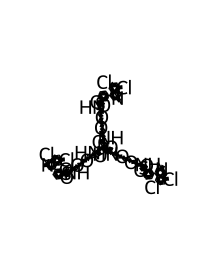 CN1Cc2c(Cl)cc(Cl)cc2[C@H](c2cccc(S(=O)(=O)NCCOCCOCCNC(=O)CN(CC(=O)NCCOCCOCCNS(=O)(=O)c3cccc([C@@H]4CN(C)Cc5c(Cl)cc(Cl)cc54)c3)CC(=O)NCCOCCOCCNS(=O)(=O)c3cccc([C@@H]4CN(C)Cc5c(Cl)cc(Cl)cc54)c3)c2)C1